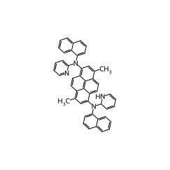 Cc1cc(N(c2ccccn2)c2cccc3ccccc23)c2ccc3c(C)cc(N(c4cccc5ccccc45)C4C=CC=CN4)c4ccc1c2c34